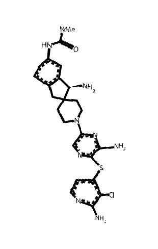 CNC(=O)Nc1ccc2c(c1)[C@@H](N)C1(CCN(c3cnc(Sc4ccnc(N)c4Cl)c(N)n3)CC1)C2